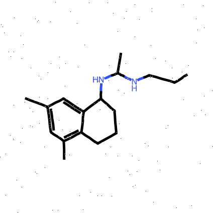 CCCNC(C)NC1CCCc2c(C)cc(C)cc21